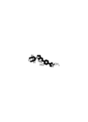 Cn1cc(-c2ccc(-c3cc4ccn([C@@H]5C[C@H]6COC[C@@H](C5)N6)c4nn3)c(O)c2)cn1